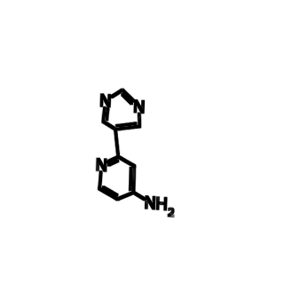 Nc1ccnc(-c2cncnc2)c1